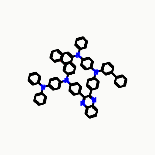 c1ccc(-c2cccc(N(c3ccc(-c4nc5ccccc5nc4-c4ccc(N(c5ccc(N(c6ccccc6)c6ccccc6)cc5)c5cccc(-c6ccccc6)c5)cc4)cc3)c3ccc(N(c4ccccc4)c4ccccc4)cc3)c2)cc1